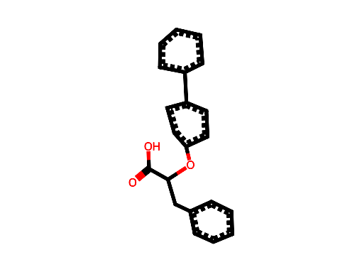 O=C(O)C(Cc1ccccc1)Oc1ccc(-c2ccccc2)cc1